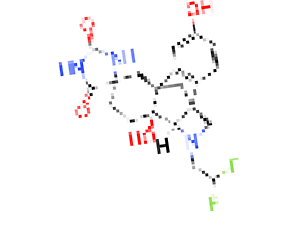 O=C1NC(=O)[C@@]2(CC[C@@]3(O)[C@@H]4N(CC(F)F)C[C@]45C[C@@]3(C2)c2cc(O)ccc25)N1